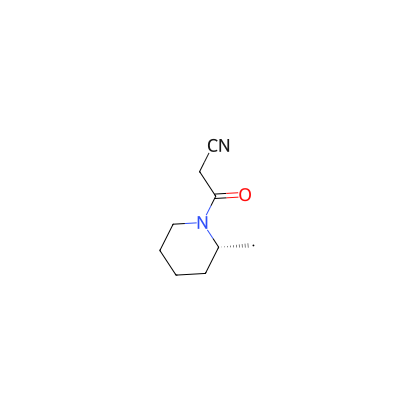 [CH2][C@@H]1CCCCN1C(=O)CC#N